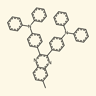 Cc1ccc2nc(-c3ccc(N(c4ccccc4)c4ccccc4)cc3)c(-c3ccc(N(c4ccccc4)c4ccccc4)cc3)nc2c1